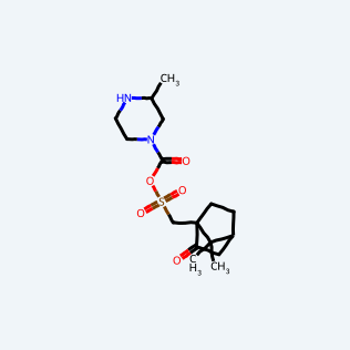 CC1CN(C(=O)OS(=O)(=O)CC23CCC(CC2=O)C3(C)C)CCN1